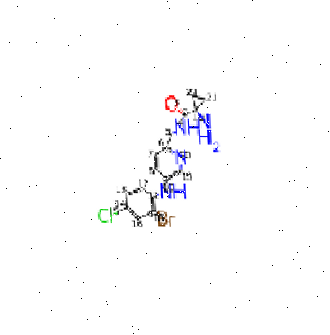 NC1(C(=O)NCc2ccc(Nc3ccc(Cl)cc3Br)cn2)CC1